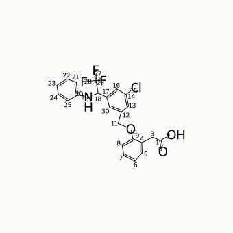 O=C(O)Cc1ccccc1OCc1cc(Cl)cc(C(Nc2ccccc2)C(F)(F)F)c1